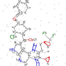 C[C@@]1(COC(F)F)Nc2c(cnc3[nH]cc(C(=O)c4ccc(Oc5ccccc5)cc4Cl)c23)NC1=O